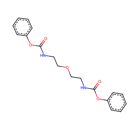 O=C(NCCOCCNC(=O)Oc1ccccc1)Oc1ccccc1